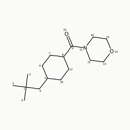 CC(C)(C)CC1CCC(C(=O)N2CCOCC2)CC1